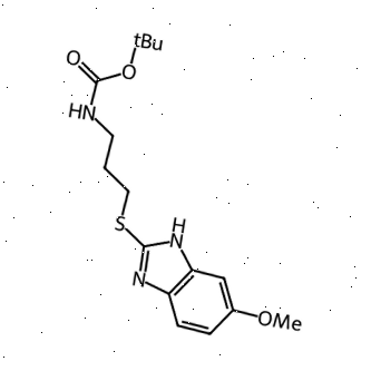 COc1ccc2nc(SCCCNC(=O)OC(C)(C)C)[nH]c2c1